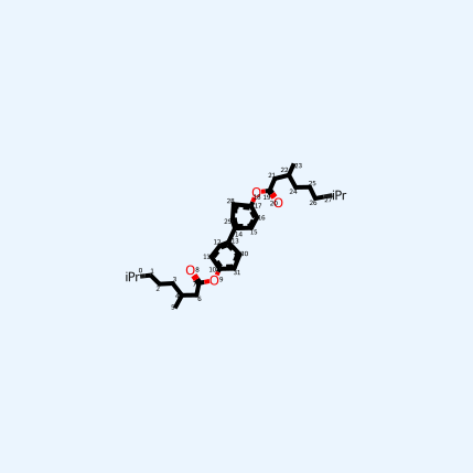 CC(C)CCCC(C)CC(=O)Oc1ccc(-c2ccc(OC(=O)CC(C)CCCC(C)C)cc2)cc1